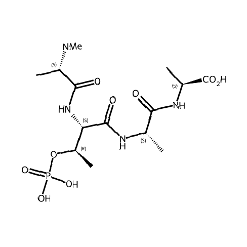 CN[C@@H](C)C(=O)N[C@H](C(=O)N[C@@H](C)C(=O)N[C@@H](C)C(=O)O)[C@@H](C)OP(=O)(O)O